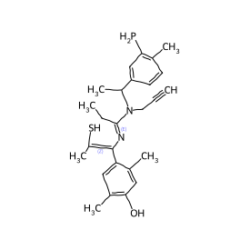 C#CCN(/C(CC)=N/C(=C(/C)S)c1cc(C)c(O)cc1C)C(C)c1ccc(C)c(P)c1